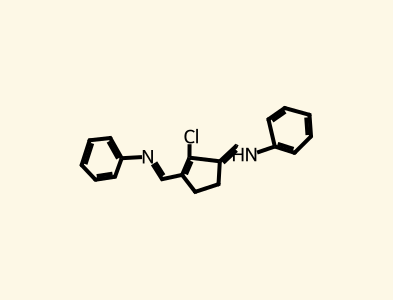 ClC1=C(/C=N/c2ccccc2)CC/C1=C\Nc1ccccc1